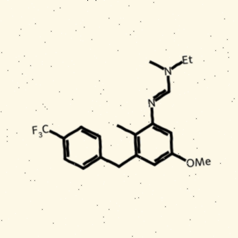 CCN(C)C=Nc1cc(OC)cc(Cc2ccc(C(F)(F)F)cc2)c1C